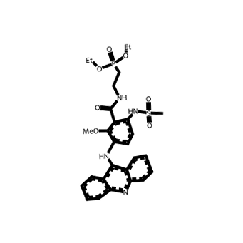 CCOP(=O)(CCNC(=O)c1c(NS(C)(=O)=O)ccc(Nc2c3ccccc3nc3ccccc23)c1OC)OCC